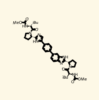 CC[C@@H](C)[C@H](NC(=O)OC)C(=O)N1CCC[C@H]1c1ncc(-c2ccc(-c3ccc4nc([C@@H]5CCCN5C(=O)[C@@H](NC(=O)OC)[C@H](C)CC)[nH]c4c3)cc2)[nH]1